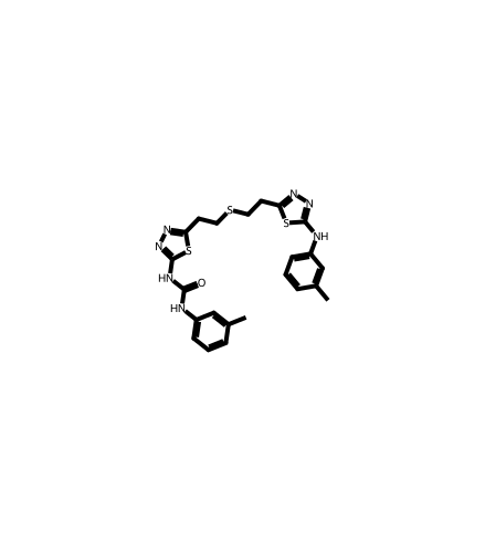 Cc1cccc(NC(=O)Nc2nnc(CCSCCc3nnc(Nc4cccc(C)c4)s3)s2)c1